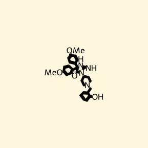 COc1ccc(C2(c3ccc(OC)cc3)NC(=N)N(C3CCN(Cc4ccccc4O)CC3)C2=O)cc1